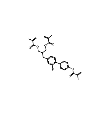 C=C(C)C(=O)OCC(COC(=O)C(=C)C)Cc1ccc(-c2ccc(OC(=O)C(=C)C)cc2)c(F)c1